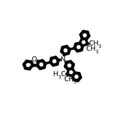 CC1(C)c2ccccc2-c2cc(-c3cccc(N(c4ccc(-c5ccc6c(c5)oc5ccccc56)cc4)c4ccc5c(c4)C(C)(C)c4ccccc4-5)c3)ccc21